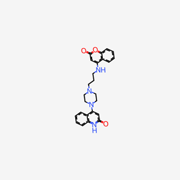 O=c1cc(N2CCN(CCCNc3cc(=O)oc4ccccc34)CC2)c2ccccc2[nH]1